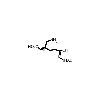 CC(=O)NN=C(C)CC/C(=C/C(=O)O)CN